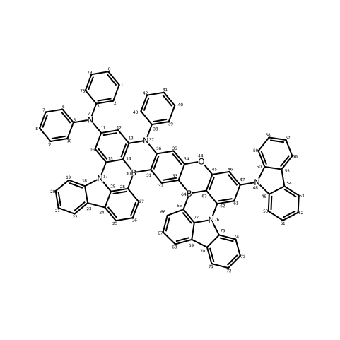 c1ccc(N(c2ccccc2)c2cc3c4c(c2)-n2c5ccccc5c5cccc(c52)B4c2cc4c(cc2N3c2ccccc2)Oc2cc(-n3c5ccccc5c5ccccc53)cc3c2B4c2cccc4c5ccccc5n-3c24)cc1